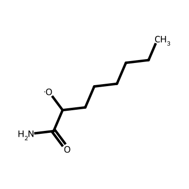 CCCCCCC([O])C(N)=O